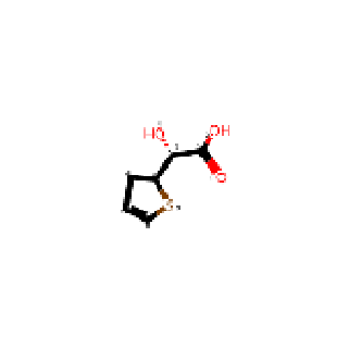 O=C(O)[C@@H](O)C1CC=CS1